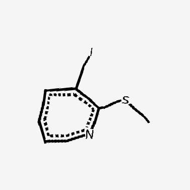 CSc1ncccc1I